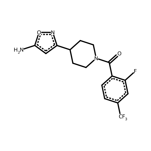 Nc1cc(C2CCN(C(=O)c3ccc(C(F)(F)F)cc3F)CC2)no1